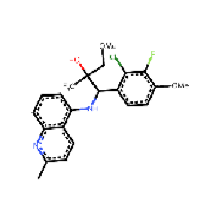 COCC(O)(C(Nc1cccc2nc(C)ccc12)c1ccc(OC)c(F)c1Cl)C(F)(F)F